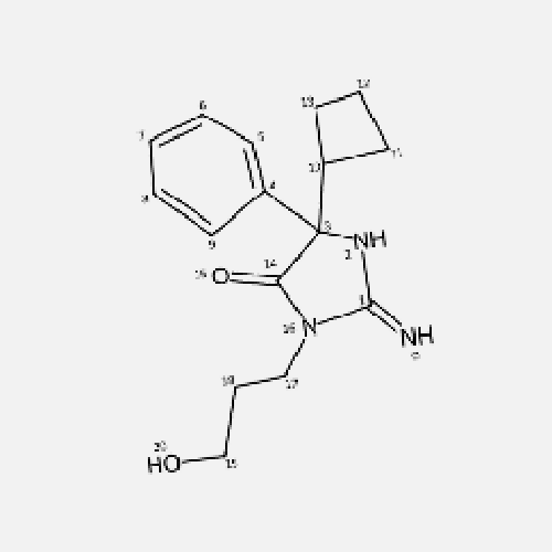 N=C1NC(c2ccccc2)(C2CCC2)C(=O)N1CCCO